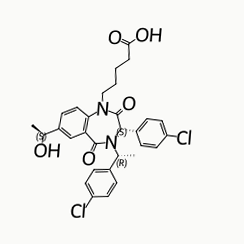 C[C@H](O)c1ccc2c(c1)C(=O)N([C@H](C)c1ccc(Cl)cc1)[C@@H](c1ccc(Cl)cc1)C(=O)N2CCCCC(=O)O